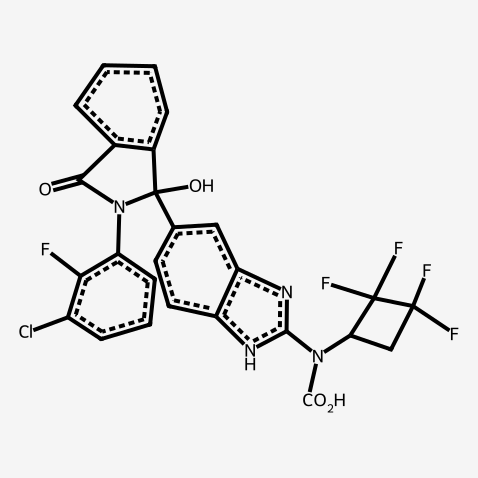 O=C(O)N(c1nc2cc(C3(O)c4ccccc4C(=O)N3c3cccc(Cl)c3F)ccc2[nH]1)C1CC(F)(F)C1(F)F